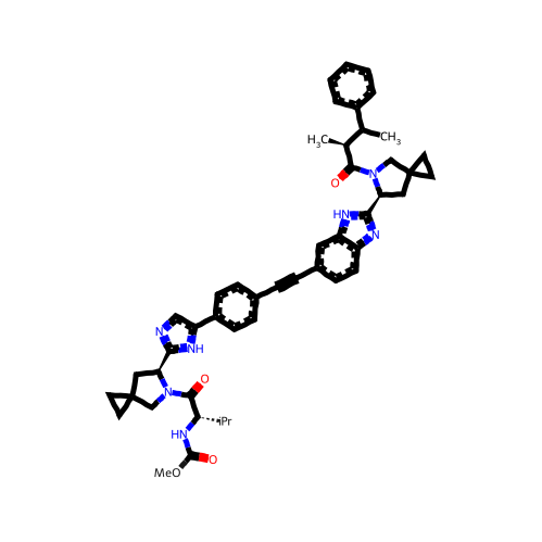 COC(=O)N[C@H](C(=O)N1CC2(CC2)C[C@H]1c1ncc(-c2ccc(C#Cc3ccc4nc([C@@H]5CC6(CC6)CN5C(=O)[C@@H](C)C(C)c5ccccc5)[nH]c4c3)cc2)[nH]1)C(C)C